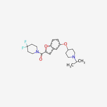 CC(C)N1CCC(Oc2ccc3oc(C(=O)N4CCC(F)(F)CC4)cc3c2)CC1